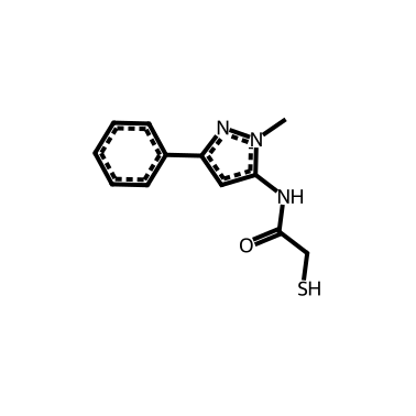 Cn1nc(-c2ccccc2)cc1NC(=O)CS